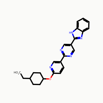 O=C(O)CC1CCC(Oc2ccc(-c3ncc(-c4nc5ccccc5[nH]4)cn3)cn2)CC1